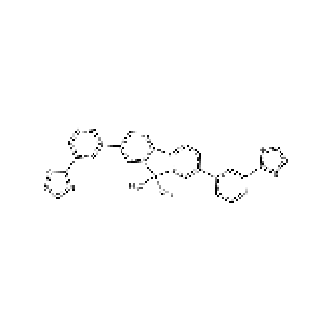 CC1(C)c2cc(-c3cccc(-c4nccs4)c3)ccc2-c2ccc(-c3cccc(-c4nccs4)c3)cc21